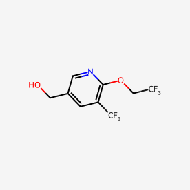 OCc1cnc(OCC(F)(F)F)c(C(F)(F)F)c1